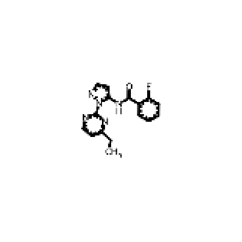 CCc1ccnc(-n2nccc2NC(=O)c2ccccc2F)n1